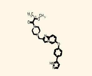 CO[C@@H](C)C(=O)N1CCN(Cc2cn3cc(Oc4ccc(-c5ccn[nH]5)cc4)ccc3n2)CC1